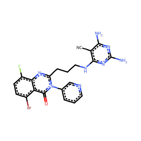 N#Cc1c(N)nc(N)nc1NCCCc1nc2c(F)ccc(Br)c2c(=O)n1-c1cccnc1